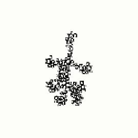 O=C(CC(=O)ON1C(=O)CCC1=O)OCCOCC(OCCOC(=O)CC(=O)ON1C(=O)CCC1=O)C(OCCOC(=O)CC(=O)ON1C(=O)CCC1=O)C(COCCCCOCC(COC(=O)CC(=O)ON1C(=O)CCC1=O)C(COC(=O)CC(=O)ON1C(=O)CCC1=O)C(CCOC(=O)CC(=O)ON1C(=O)CCC1=O)COC(=O)CC(=O)ON1C(=O)CCC1=O)OCCOC(=O)CC(=O)ON1C(=O)CCC1=O